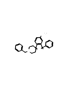 COc1ccc2c(c1)C(O)(c1ccccc1)OC21CCN(Cc2ccccc2)CC1